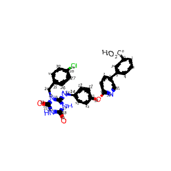 O=C(O)c1cccc(-c2ccc(Oc3ccc(/N=c4\[nH]c(=O)[nH]c(=O)n4Cc4ccc(Cl)cc4)cc3)nc2)c1